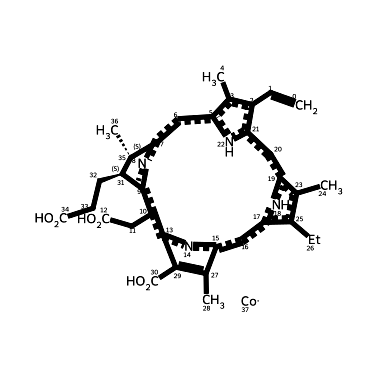 C=Cc1c(C)c2cc3nc(c(CC(=O)O)c4nc(cc5[nH]c(cc1[nH]2)c(C)c5CC)C(C)=C4C(=O)O)[C@@H](CCC(=O)O)[C@@H]3C.[Co]